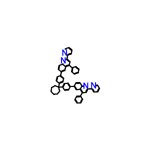 c1ccc(-c2cc(-c3ccccn3)nc3ccc(-c4ccc(C5(c6ccc(-c7ccc8nc(-c9ccccn9)cc(-c9ccccc9)c8c7)cc6)CCCCCC5)cc4)cc23)cc1